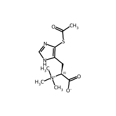 CC(=O)Sc1nc[nH]c1C[C@@H](C(=O)[O-])[N+](C)(C)C